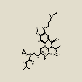 COCCCOc1cc(C(=O)N(C(C)C)[C@@H]2CC[C@H](CCN(C(=O)C=C(C)C)C3CC3)NC2)ccc1OC.Cl